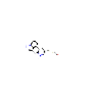 CN1C[C@H](CSCCO)CC2c3cccc4[nH]cc(c34)C[C@H]21